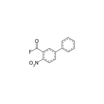 O=C(F)c1cc(-c2ccccc2)ccc1[N+](=O)[O-]